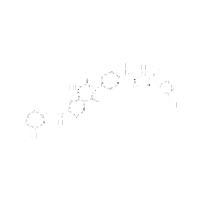 O=C(Nc1ccc(-n2c(=O)[nH]c3cc(NCc4cccc(Cl)c4)ccc3c2=O)cc1)NS(=O)(=O)c1ccc(Cl)s1